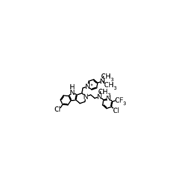 CN(C)c1cc[n+](CC2c3[nH]c4ccc(Cl)cc4c3CCN2CCN(C)c2ccc(Cl)c(C(F)(F)F)n2)cc1